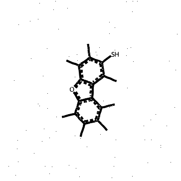 Cc1c(C)c(C)c2c(oc3c(C)c(C)c(S)c(C)c32)c1C